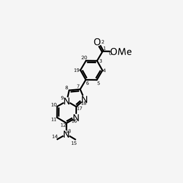 COC(=O)c1ccc(-c2cn3ccc(N(C)C)nc3n2)cc1